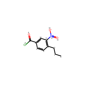 CCCc1ccc(C(=O)Cl)cc1[N+](=O)[O-]